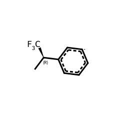 C[C@H](c1c[c]ccc1)C(F)(F)F